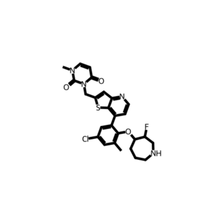 Cc1cc(Cl)cc(-c2ccnc3cc(Cn4c(=O)ccn(C)c4=O)sc23)c1OC1CCCNCC1F